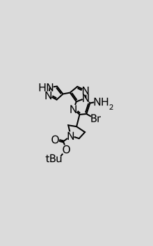 CC(C)(C)OC(=O)N1CCC(c2nc3c(-c4cn[nH]c4)cnn3c(N)c2Br)C1